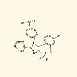 CS(=O)(=O)c1ccc(-c2c(-c3ccc(Cl)cc3Cl)c(C(F)(F)F)nn2-c2ccccc2)cc1